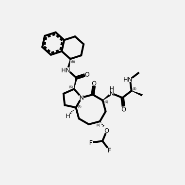 CN[C@@H](C)C(=O)N[C@H]1C[C@H](OC(F)F)CC[C@H]2CC[C@@H](C(=O)N[C@@H]3CCCc4ccccc43)N2C1=O